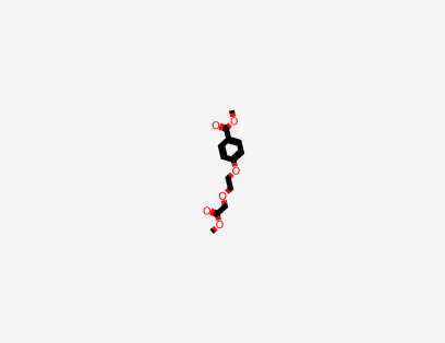 COC(=O)COCCOc1ccc(C(=O)OC)cc1